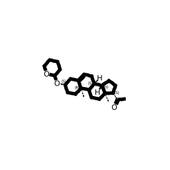 CC(=O)[C@H]1CC[C@H]2[C@@H]3CC=C4C[C@@H](OC5CCCCO5)CC[C@]4(C)C3CC[C@]12C